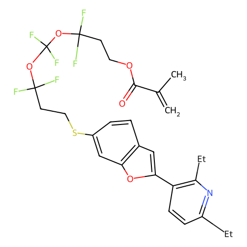 C=C(C)C(=O)OCCC(F)(F)OC(F)(F)OC(F)(F)CCSc1ccc2cc(-c3ccc(CC)nc3CC)oc2c1